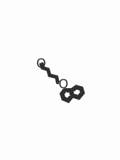 O=CCCCCOc1cccc2ccccc12